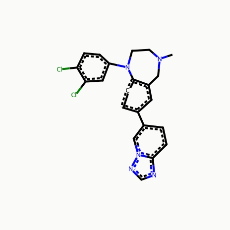 CN1CCN(c2ccc(Cl)c(Cl)c2)c2ccc(-c3ccc4ncnn4c3)cc2C1